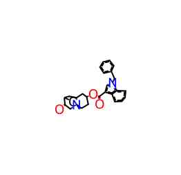 O=C(OC1CC2CC3CC(C1)N2CC3=O)c1cn(Cc2ccccc2)c2ccccc12